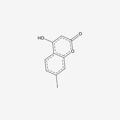 O=c1cc(O)c2ccc(I)cc2o1